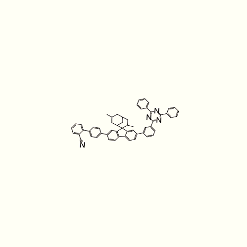 CC1CC2CC(C)C3(c4cc(-c5ccc(-c6ccccc6C#N)cc5)ccc4-c4ccc(-c5cccc(-c6nc(-c7ccccc7)nc(-c7ccccc7)n6)c5)cc43)C(C1)C2